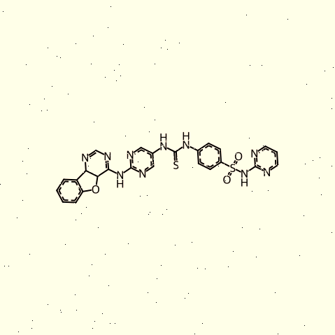 O=S(=O)(Nc1ncccn1)c1ccc(NC(=S)Nc2cnc(NC3=NC=NC4c5ccccc5OC34)nc2)cc1